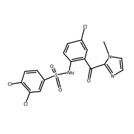 Cn1ccnc1C(=O)c1cc(Cl)ccc1NS(=O)(=O)c1ccc(Cl)c(Cl)c1